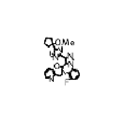 COC1(c2nc(-c3ncn4c3c(=O)n(Cc3ccccn3)c3c(F)cccc34)no2)CCCC1